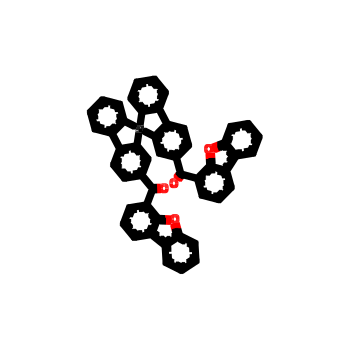 O=C(c1ccc2c(c1)[Si]1(c3ccccc3-2)c2ccccc2-c2ccc(C(=O)c3cccc4c3oc3ccccc34)cc21)c1cccc2c1oc1ccccc12